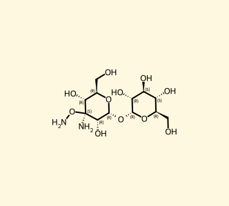 NO[C@@]1(N)[C@H](O)[C@@H](CO)O[C@H](O[C@H]2O[C@H](CO)[C@@H](O)[C@H](O)[C@H]2O)[C@@H]1O